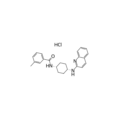 Cc1cccc(C(=O)N[C@H]2CC[C@@H](Nc3ccc4ccccc4n3)CC2)c1.Cl